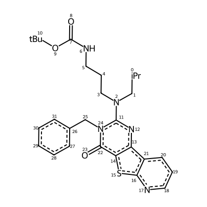 CC(C)CN(CCCNC(=O)OC(C)(C)C)c1nc2c(sc3ncccc32)c(=O)n1Cc1ccccc1